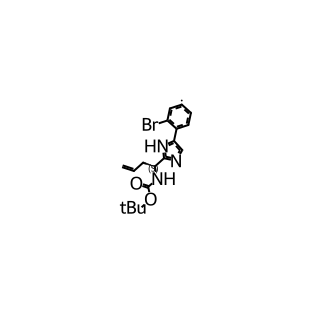 C=CC[C@H](NC(=O)OC(C)(C)C)c1ncc(-c2cc[c]cc2Br)[nH]1